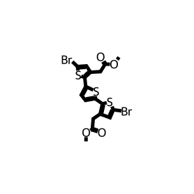 COC(=O)Cc1cc(Br)sc1-c1ccc(-c2sc(Br)cc2CC(=O)OC)s1